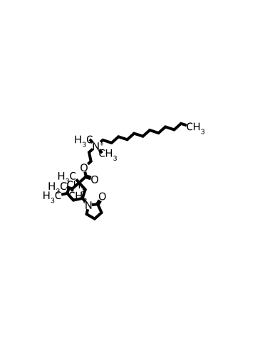 CCCCCCCCCCCC[N+](C)(C)CCOC(=O)C(C)(CC(CC(C)C)N1CCCC1=O)C(C)C